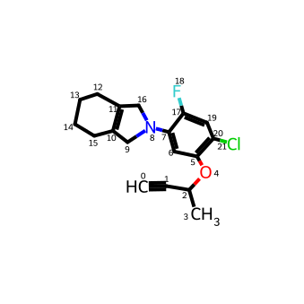 C#CC(C)Oc1cc(N2CC3=C(CCCC3)C2)c(F)cc1Cl